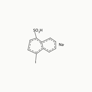 O=S(=O)(O)c1ccc(I)c2ccccc12.[Na]